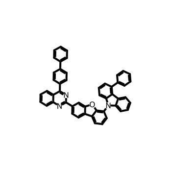 c1ccc(-c2ccc(-c3nc(-c4ccc5c(c4)oc4c(-n6c7ccccc7c7c(-c8ccccc8)cccc76)cccc45)nc4ccccc34)cc2)cc1